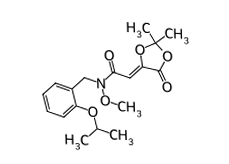 CON(Cc1ccccc1OC(C)C)C(=O)/C=C1\OC(C)(C)OC1=O